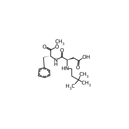 COC(=O)[C@@H](Cc1ccccc1)NC(=O)[C@@H](CC(=O)O)NCCC(C)(C)C